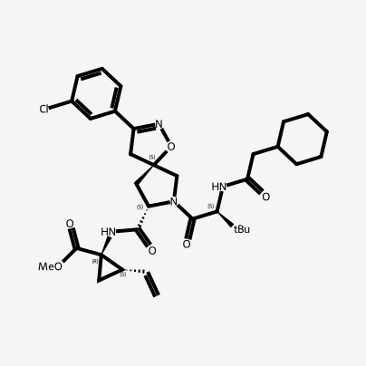 C=C[C@@H]1C[C@]1(NC(=O)[C@@H]1C[C@]2(CC(c3cccc(Cl)c3)=NO2)CN1C(=O)[C@@H](NC(=O)CC1CCCCC1)C(C)(C)C)C(=O)OC